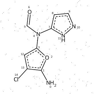 Nc1oc(N(C=O)c2ccn[nH]2)cc1Cl